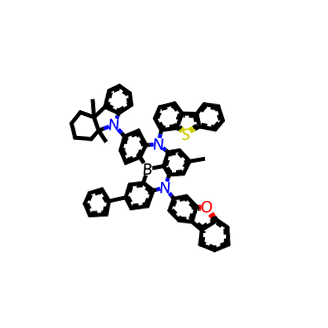 Cc1cc2c3c(c1)N(c1cccc4c1sc1ccccc14)c1cc(N4c5ccccc5C5(C)CCCCC45C)ccc1B3c1cc(-c3ccccc3)ccc1N2c1ccc2c(c1)oc1ccccc12